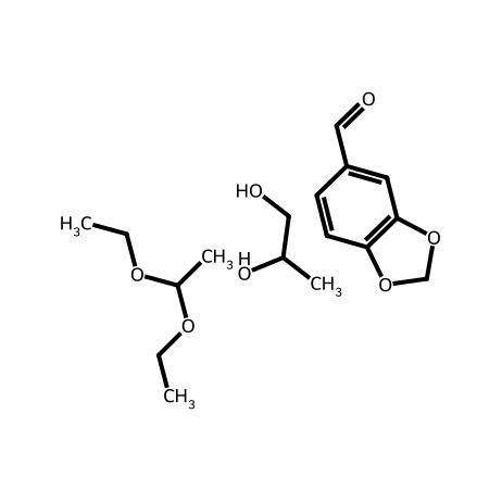 CC(O)CO.CCOC(C)OCC.O=Cc1ccc2c(c1)OCO2